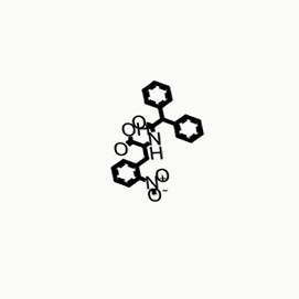 O=C(O)C(Cc1ccccc1[N+](=O)[O-])NC(=O)C(c1ccccc1)c1ccccc1